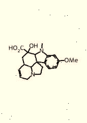 COc1ccc2c(c1)N(C)C1C(O)(C(=O)O)CC3C=CCN4CCC21C34